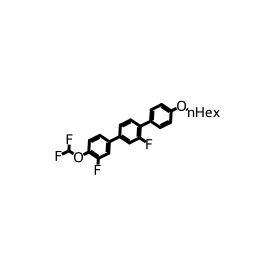 CCCCCCOc1ccc(-c2ccc(-c3ccc(OC(F)F)c(F)c3)cc2F)cc1